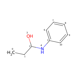 [CH2]CC(O)Nc1ccccc1